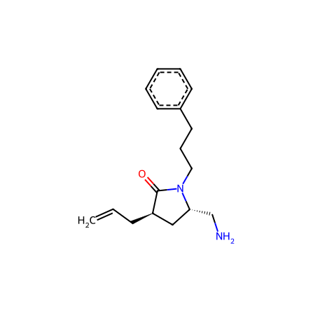 C=CC[C@@H]1C[C@@H](CN)N(CCCc2ccccc2)C1=O